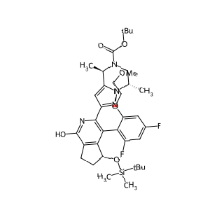 COCCOc1cc(F)cc(F)c1-c1c(-c2cc3n(n2)[C@@H](C)CN(C(=O)OC(C)(C)C)[C@@H]3C)nc(O)c2c1C(O[Si](C)(C)C(C)(C)C)CC2